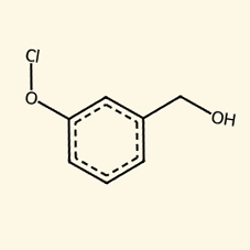 OCc1cccc(OCl)c1